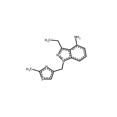 CCc1nn(Cc2csc(C)n2)c2cccc(N)c12